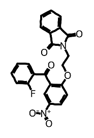 O=C(c1ccccc1F)c1cc([N+](=O)[O-])ccc1OCCN1C(=O)c2ccccc2C1=O